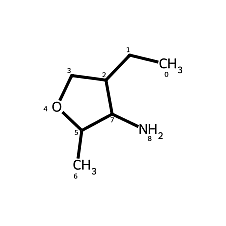 CCC1COC(C)C1N